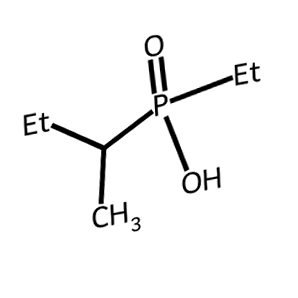 CCC(C)P(=O)(O)CC